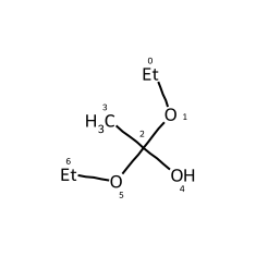 [CH2]COC(C)(O)OCC